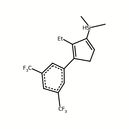 CCC1=C(c2cc(C(F)(F)F)cc(C(F)(F)F)c2)CC=C1[SiH](C)C